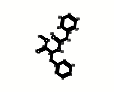 COC(=O)C(Cc1ccccc1)OC(=O)Cc1c[c]ccc1